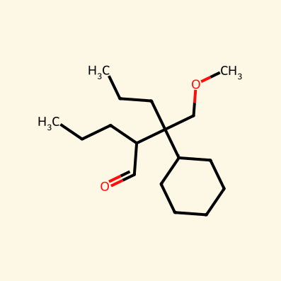 CCCC(C=O)C(CCC)(COC)[C]1CCCCC1